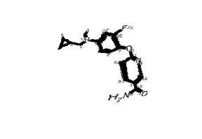 CN(CC1CC1)c1ccc(Oc2ccc(C(N)=O)cn2)c(F)c1